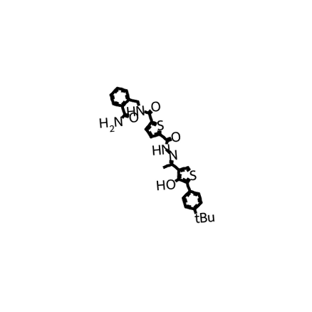 C/C(=N\NC(=O)c1ccc(C(=O)NCc2ccccc2C(N)=O)s1)c1csc(-c2ccc(C(C)(C)C)cc2)c1O